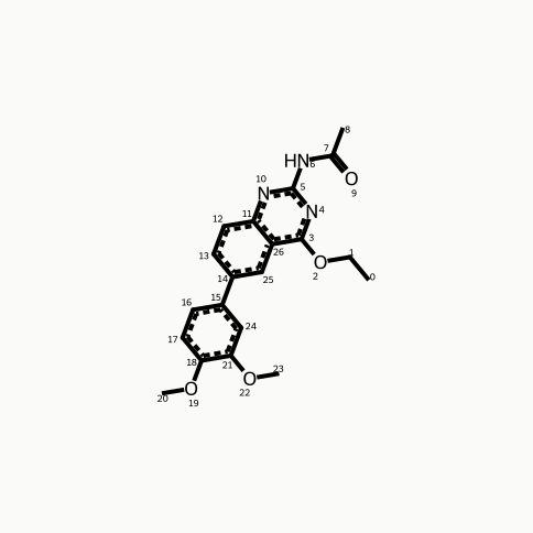 CCOc1nc(NC(C)=O)nc2ccc(-c3ccc(OC)c(OC)c3)cc12